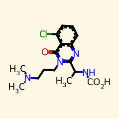 CC(NC(=O)O)c1nc2cccc(Cl)c2c(=O)n1CCCN(C)C